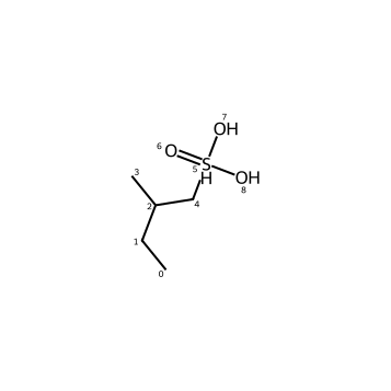 CCC(C)C[SH](=O)(O)O